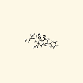 CC(C)=CCc1c(O)cc2oc(-c3ccccc3)cc(=O)c2c1O